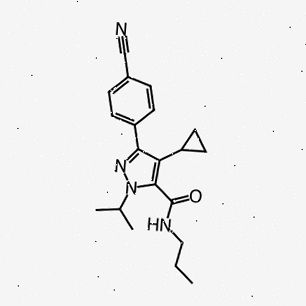 CCCNC(=O)c1c(C2CC2)c(-c2ccc(C#N)cc2)nn1C(C)C